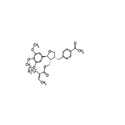 C/C=C(/C)C(=O)OC[C@H]1[C@@H](Cc2ccc(C(C)=O)cc2)CO[C@@H]1c1cc(OC)c(OC)c(OC)c1